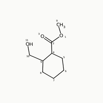 COC(=O)C1CCCCC1CO